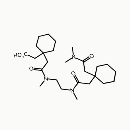 CN(C)C(=O)CC1(CC(=O)N(C)CCN(C)C(=O)CC2(CC(=O)O)CCCCC2)CCCCC1